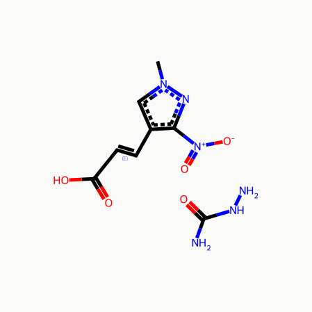 Cn1cc(/C=C/C(=O)O)c([N+](=O)[O-])n1.NNC(N)=O